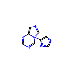 C1=NC=NC2=CN=C[N+]12c1cnc[nH]1